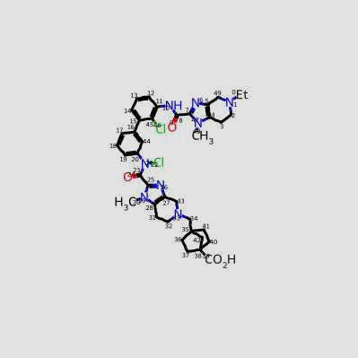 CCN1CCc2c(nc(C(=O)Nc3cccc(-c4cccc(N(Cl)C(=O)c5nc6c(n5C)CCN(CC57CCC(C(=O)O)(CC5)C7)C6)c4)c3Cl)n2C)C1